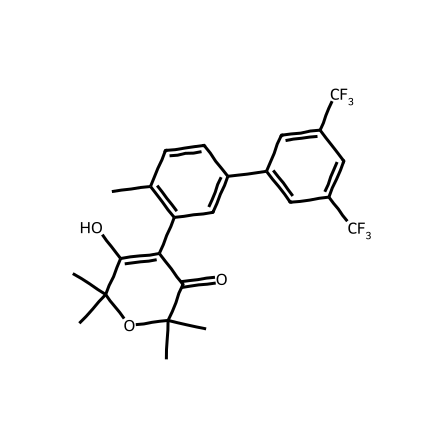 Cc1ccc(-c2cc(C(F)(F)F)cc(C(F)(F)F)c2)cc1C1=C(O)C(C)(C)OC(C)(C)C1=O